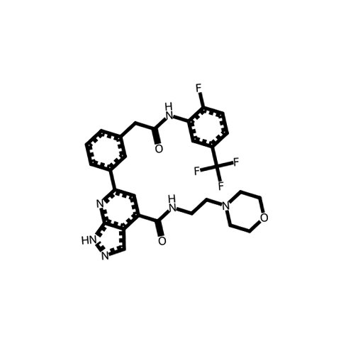 O=C(Cc1cccc(-c2cc(C(=O)NCCN3CCOCC3)c3cn[nH]c3n2)c1)Nc1cc(C(F)(F)F)ccc1F